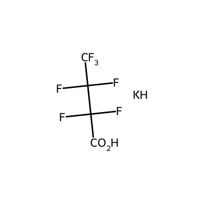 O=C(O)C(F)(F)C(F)(F)C(F)(F)F.[KH]